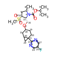 CC(C)OC(=O)N1[C@H](C)C[C@H](S(C)(=O)=O)[C@H]1COC1CCC2(c3ncc(F)cn3)CC2C1